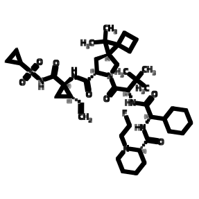 C=C[C@@H]1C[C@]1(NC(=O)[C@@H]1C[C@@]2(CN1C(=O)[C@@H](NC(=O)[C@@H](NC(=O)[C@@H]1CCCCN1CCF)C1CCCCC1)C(C)(C)C)C(C)(C)C21CCC1)C(=O)NS(=O)(=O)C1CC1